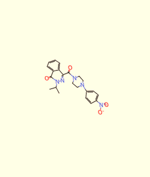 CC(C)n1nc(C(=O)N2CCN(c3ccc([N+](=O)[O-])cc3)CC2)c2ccccc2c1=O